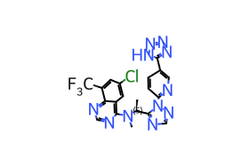 C[C@@H](c1ncnn1-c1ccc(-c2nnn[nH]2)cn1)N(C)c1ncnc2c(C(F)(F)F)cc(Cl)cc12